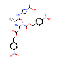 C[C@@H](N/C(=N\C(=O)OCc1ccc([N+](=O)[O-])cc1)NC(=O)OCc1ccc([N+](=O)[O-])cc1)C(=O)NC1CN(C(=O)O)C1